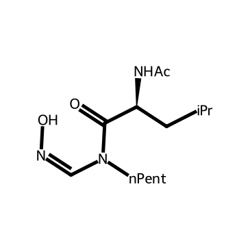 CCCCCN(/C=N\O)C(=O)[C@H](CC(C)C)NC(C)=O